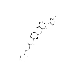 Cn1cc(-n2ccc(=O)c(Cc3cccc(NC(=O)OCC(F)CN)c3)n2)cn1